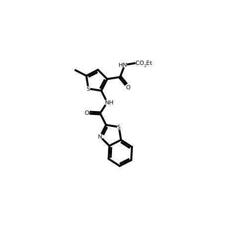 CCOC(=O)NC(=O)c1cc(C)sc1NC(=O)c1nc2ccccc2s1